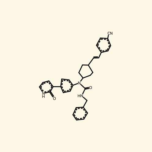 N#Cc1ccc(/C=C/C2CCC(N(C(=O)NCc3ccccc3)c3ccc(-c4ccc[nH]c4=O)cc3)CC2)cc1